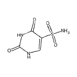 NS(=O)(=O)c1c[nH]c(=O)[nH]c1=O